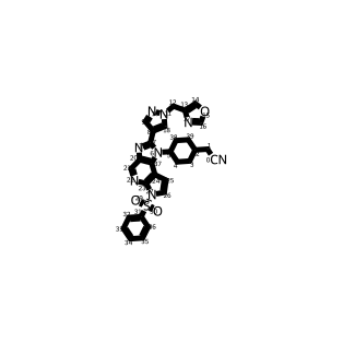 N#CCC1CCC(n2c(-c3cnn(Cc4cocn4)c3)nc3cnc4c(ccn4S(=O)(=O)c4ccccc4)c32)CC1